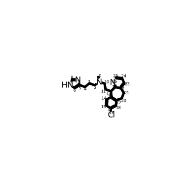 CN(CCCc1c[nH]cn1)CCC1c2ccc(Cl)cc2CCc2cccnc21